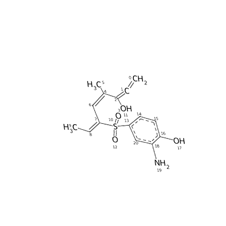 C=C=C(O)/C(C)=C\C(=C/C)S(=O)(=O)c1ccc(O)c(N)c1